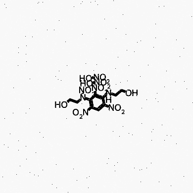 O=[N+]([O-])O.O=[N+]([O-])O.O=[N+]([O-])c1cc([N+](=O)[O-])c(N(CCO)[N+](=O)[O-])c([N+](=O)[O-])c1NCCO